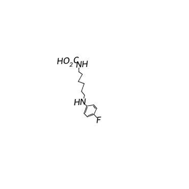 O=C(O)NCCCCCCNc1ccc(F)cc1